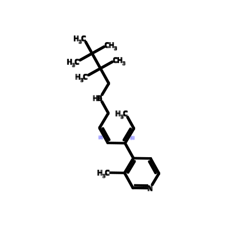 C/C=C(\C=C/CBCC(C)(C)C(C)(C)C)c1ccncc1C